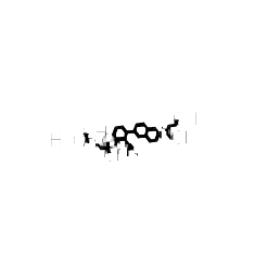 CCCN(CC)c1ccc2cc(-c3cccc(OC(C)(C)CCOC(C)C)c3C#N)ccc2c1